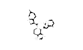 Cc1ccc2c(C(=O)N3CCc4[nH]cnc4[C@@H]3c3cc4c(F)cccn4n3)cnn2c1